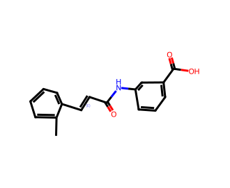 Cc1ccccc1/C=C/C(=O)Nc1cccc(C(=O)O)c1